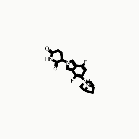 O=C1CCC(n2cc3c(F)cc(N4CC5CC(C4)N5)c(F)c3c2)C(=O)N1